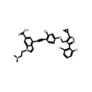 CN(C)CCn1ccc2c(C#Cc3ccc(OCc4c(-c5c(Cl)cccc5Cl)noc4C4CC4)cc3Cl)cc(C(=O)O)cc21